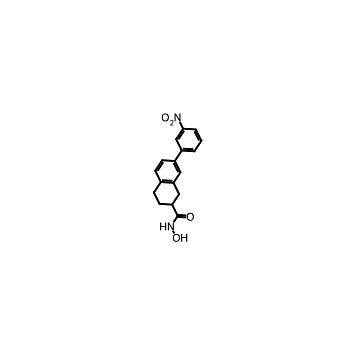 O=C(NO)C1CCc2ccc(-c3cccc([N+](=O)[O-])c3)cc2C1